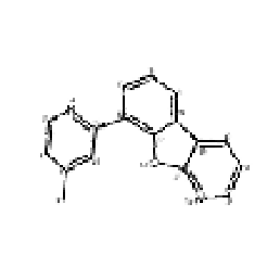 Cc1ccnc(-c2cccc3c2oc2ncccc23)c1